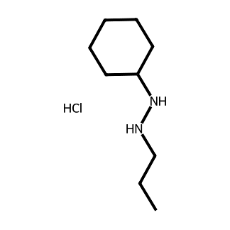 CCCNNC1CCCCC1.Cl